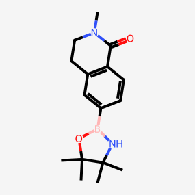 CN1CCc2cc(B3NC(C)(C)C(C)(C)O3)ccc2C1=O